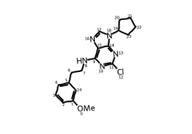 COc1cccc(CCNc2nc(Cl)nc3c2ncn3C2CCCC2)c1